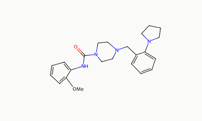 COc1ccccc1NC(=O)N1CCN(Cc2ccccc2N2CCCC2)CC1